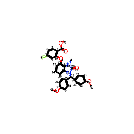 COC(=O)c1ccc(F)cc1Oc1cccc2c1n(C)c(=O)n2C(c1ccc(OC)cc1)c1ccc(OC)cc1